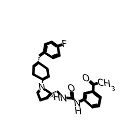 CC(=O)c1cccc(NC(=O)NC[C@@H]2CCCN2[C@H]2CC[C@@H](Cc3ccc(F)cc3)CC2)c1